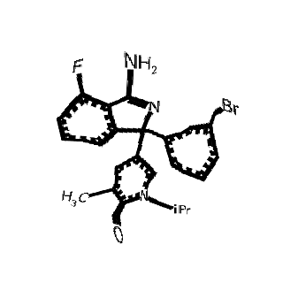 Cc1cc(C2(c3cccc(Br)c3)N=C(N)c3c(F)cccc32)cn(C(C)C)c1=O